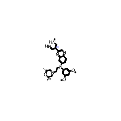 CN/C=C(\C=N)c1cnc2ccc(N(CCN3C[C@@H](C)O[C@@H](C)C3)c3cc(OC)cc(OC)c3)cc2n1